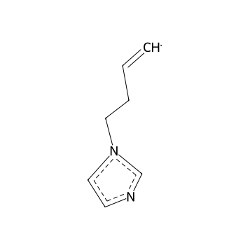 [CH]=CCCn1ccnc1